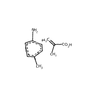 C=C(C)C(=O)O.Cc1ccc(N)cc1